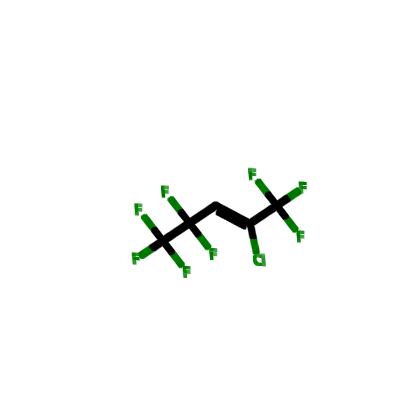 FC(F)(F)C(Cl)=CC(F)(F)C(F)(F)F